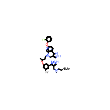 CNCCN(C)Cc1c[nH]nc1-c1cc(OC(C)CCN(CCN)Cc2c[nH]nc2-c2ccc(Oc3ccccc3F)cc2)cc(C(C)C)c1